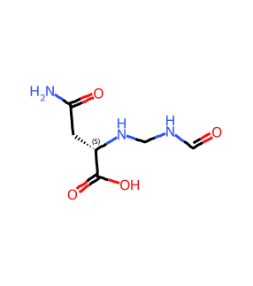 NC(=O)C[C@H](NCNC=O)C(=O)O